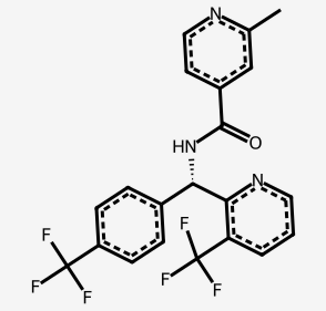 Cc1cc(C(=O)N[C@@H](c2ccc(C(F)(F)F)cc2)c2ncccc2C(F)(F)F)ccn1